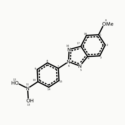 COc1ccc2nn(-c3ccc(N(O)O)cc3)nc2c1